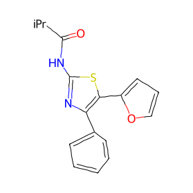 CC(C)C(=O)Nc1nc(-c2ccccc2)c(-c2ccco2)s1